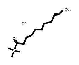 CCCCCCCCC=CCCCCCCCC(=O)[N+](C)(C)C.[Cl-]